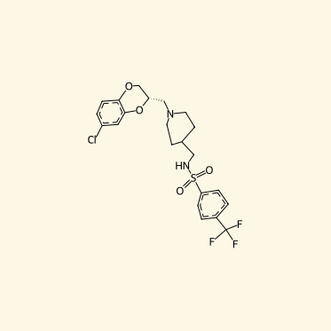 O=S(=O)(NCC1CCN(C[C@H]2COc3ccc(Cl)cc3O2)CC1)c1ccc(C(F)(F)F)cc1